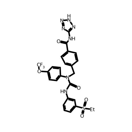 CCS(=O)(=O)c1cccc(NC(=O)N(Cc2ccc(C(=O)Nc3nn[nH]n3)cc2)c2ccc(OC(F)(F)F)cc2)c1